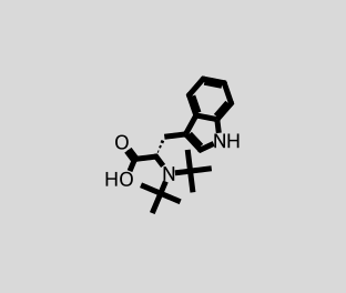 CC(C)(C)N([C@@H](Cc1c[nH]c2ccccc12)C(=O)O)C(C)(C)C